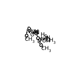 Cc1ccc(Cn2cc(NC(=O)c3cc(-c4ccc5c(c4)c(NC(O)c4scnc4C)cn5Cc4ccc(C)cc4)cnn3)c3ccccc32)cc1